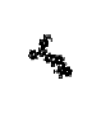 Nc1ccc(-c2nc(N3CCOCC3)nc(N3CCN(C(=O)c4cc(Cc5n[nH]c(=O)c6ccccc56)ccc4F)CC3)n2)cn1